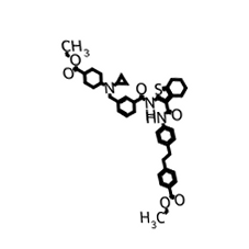 CCOC(=O)c1ccc(CCc2ccc(NC(=O)c3c(NC(=O)C4C=C(CN(C5CCC(C(=O)OCC)CC5)C5CC5)C=CC4)sc4c3CCCC4)cc2)cc1